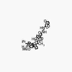 CCC(C)C(C(CC(=O)N1CCCC1C(OC)C(C)C(=O)NC(C(=O)NCC(=O)NCCNC(=O)CN1C(=O)C=CC1=O)C(C)O)OC)N(C)C(=O)CC(C)C